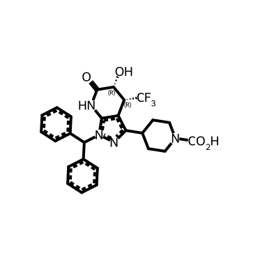 O=C1Nc2c(c(C3CCN(C(=O)O)CC3)nn2C(c2ccccc2)c2ccccc2)[C@@H](C(F)(F)F)[C@H]1O